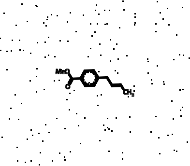 CC=CCc1ccc(C(=O)OC)cc1